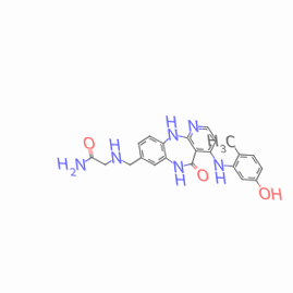 Cc1ccc(O)cc1Nc1ccnc2c1C(=O)Nc1cc(CNCC(N)=O)ccc1N2